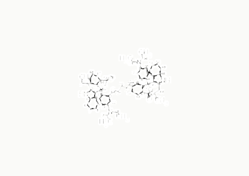 CCCc1[nH]c2ccccc2c1C1(c2ccc(N(CC)CC)cc2OCCCCOc2cc(N(CC)CC)ccc2C2(c3c(CCC)[nH]c4ccccc34)OC(=O)c3ccccc32)OC(=O)c2ccccc21